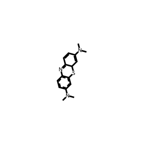 CN(C)C1=CC2Sc3cc(N(C)C)ccc3N=C2C=C1